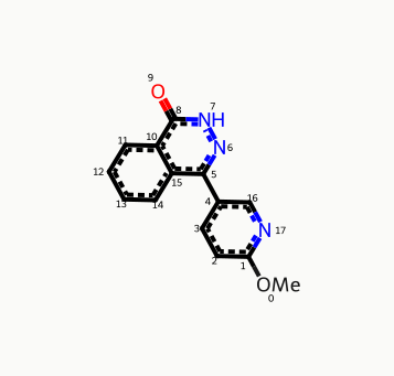 COc1ccc(-c2n[nH]c(=O)c3ccccc23)cn1